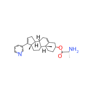 C[C@@H](N)C(=O)O[C@H]1CC[C@@]2(C)C(=CC[C@@H]3[C@@H]2CC[C@]2(C)C(c4cccnc4)=CC[C@@H]32)C1